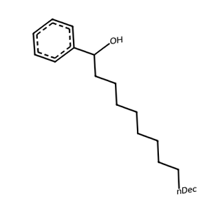 CCCCCCCCCCCCCCCCCCC(O)c1ccccc1